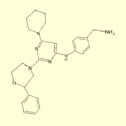 NCc1ccc(Nc2cc(N3CCCCC3)nc(N3CCOC(c4ccccc4)C3)n2)cc1